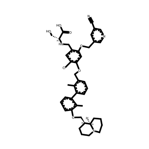 Cc1c(COc2cc(OCc3cncc(C#N)c3)c(CN[C@H](CO)C(=O)O)cc2Cl)cccc1-c1cccc(OC[C@@H]2CCCN3CCCC[C@H]23)c1C